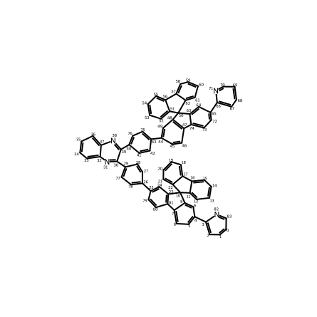 c1ccc(-c2ccc3c(c2)C2(c4ccccc4-c4ccccc42)c2cc(-c4ccc(-c5nc6ccccc6nc5-c5ccc(-c6ccc7c(c6)C6(c8ccccc8-c8ccccc86)c6cc(-c8ccccn8)ccc6-7)cc5)cc4)ccc2-3)nc1